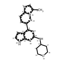 Cc1cnc2ccc(-c3nc(NC4CCOCC4)nc4[nH]ccc34)nn12